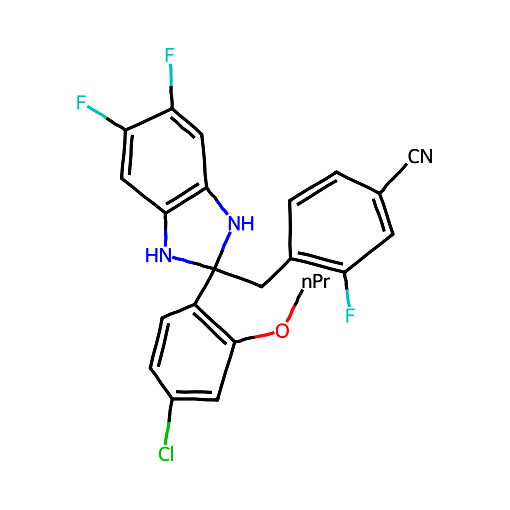 CCCOc1cc(Cl)ccc1C1(Cc2ccc(C#N)cc2F)Nc2cc(F)c(F)cc2N1